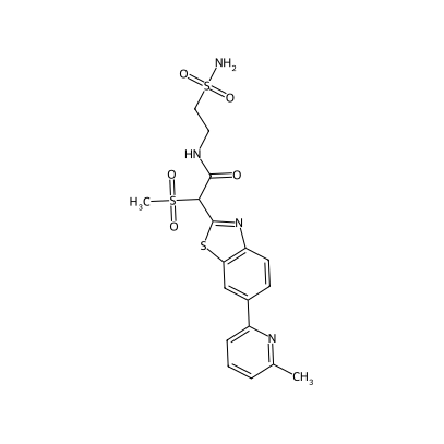 Cc1cccc(-c2ccc3nc(C(C(=O)NCCS(N)(=O)=O)S(C)(=O)=O)sc3c2)n1